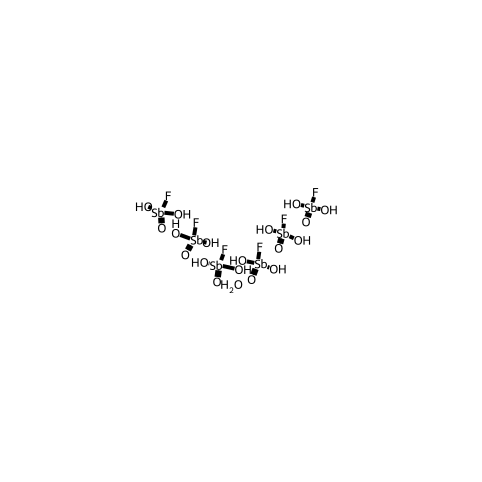 O.[O]=[Sb]([OH])([OH])[F].[O]=[Sb]([OH])([OH])[F].[O]=[Sb]([OH])([OH])[F].[O]=[Sb]([OH])([OH])[F].[O]=[Sb]([OH])([OH])[F].[O]=[Sb]([OH])([OH])[F]